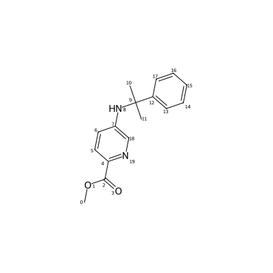 COC(=O)c1ccc(NC(C)(C)c2ccccc2)cn1